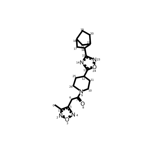 Cc1nonc1CC(=O)N1CCC(c2nc(C3CC4CCC3C4)no2)CC1